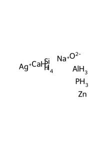 P.[Ag+].[AlH3].[CaH2].[Na+].[O-2].[SiH4].[Zn]